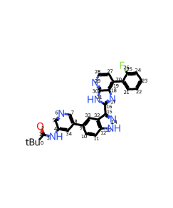 CC(C)(C)C(=O)Nc1cncc(-c2ccc3[nH]nc(-c4nc5c(-c6ccccc6F)ccnc5[nH]4)c3c2)c1